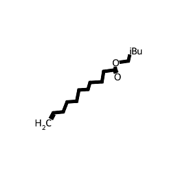 C=CCCCCCCCCC(=O)OCC(C)CC